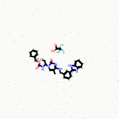 Cc1cn(C(CC(=O)O)NC(=O)OCc2ccccc2)c(=O)nc1NCc1cccc(-c2nc3ccccc3[nH]2)c1.O=C(O)C(F)(F)F